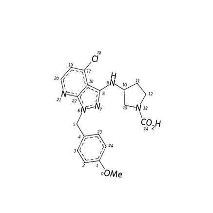 COc1ccc(Cn2nc(NC3CCN(C(=O)O)C3)c3c(Cl)ccnc32)cc1